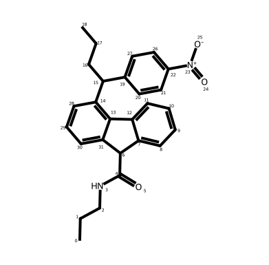 CCCNC(=O)C1c2ccccc2-c2c(C(CCC)c3ccc([N+](=O)[O-])cc3)cccc21